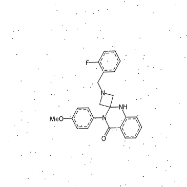 COc1ccc(N2C(=O)c3ccccc3NC23CN(Cc2ccccc2F)C3)cc1